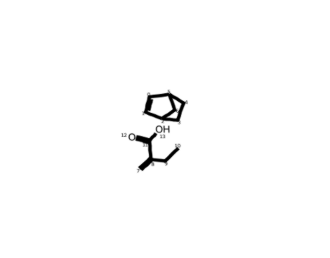 C1=CC2CCC1C2.C=C(CC)C(=O)O